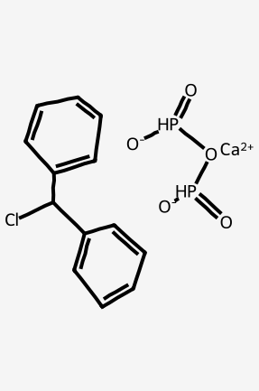 ClC(c1ccccc1)c1ccccc1.O=[PH]([O-])O[PH](=O)[O-].[Ca+2]